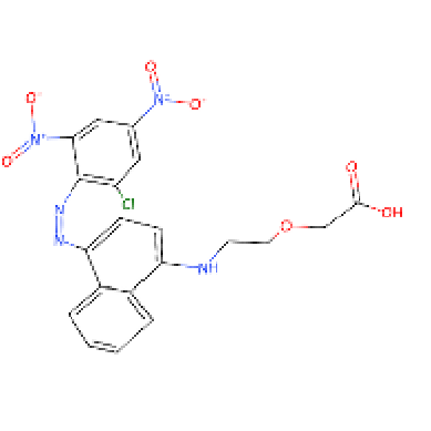 O=C(O)COCCNc1ccc(/N=N\c2c(Cl)cc([N+](=O)[O-])cc2[N+](=O)[O-])c2ccccc12